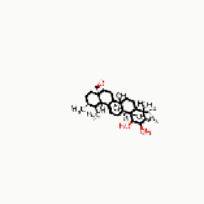 C[C@H]1[C@H](C)CC[C@]2(C=O)CC[C@]3(C)C(=CC[C@@H]4[C@@]5(C)C(O)C(O)CC(C)(C)[C@@H]5CC[C@]43C)[C@H]12